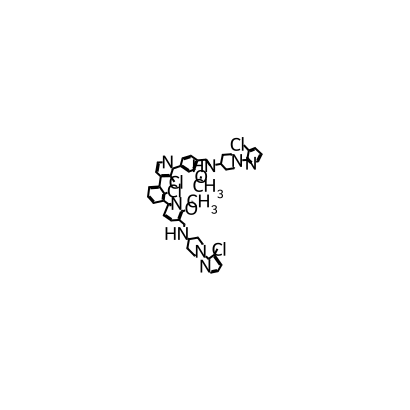 COc1cc(-c2nccc(-c3cccc(-c4ccc(CNC5CCN(c6ncccc6Cl)CC5)c(OC)n4)c3Cl)c2Cl)ccc1CNC1CCN(c2ncccc2Cl)CC1